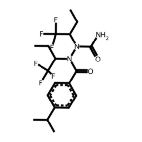 CCC(N(C(N)=O)N(C(=O)c1ccc(C(C)C)cc1)C(CC)C(F)(F)F)C(F)(F)F